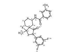 Cc1nccc(C(=O)NC2CCCC3(C2)C(=O)N(c2cc(F)cc(F)c2)CC3(C)F)n1